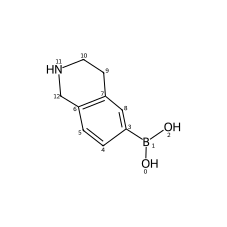 OB(O)c1ccc2c(c1)CCNC2